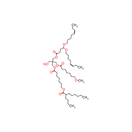 CC/C=C\CCCCOC(CCC(=O)OCC(CO)(COC(=O)CCCCCCOC)COC(=O)CCCCCCOC(=O)C(CCCC)CCCCCC)OCCCC/C=C\CC